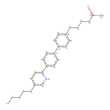 CCCCCc1ccc(-c2ccc(-c3ccc(CCCCC(=O)O)cc3)cc2)nc1